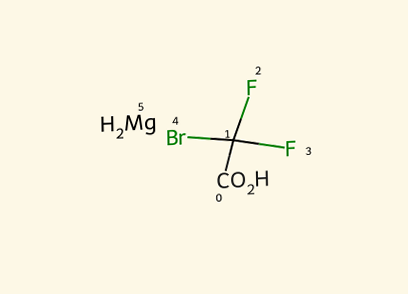 O=C(O)C(F)(F)Br.[MgH2]